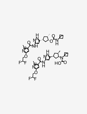 C[C@@H]1C[C@H](c2cc(NC(=O)c3cc(OCC(F)F)nn3C)n[nH]2)C[C@@H]1N(C(=O)O)C12CC(C1)C2.C[C@H]1C[C@@H](c2cc(NC(=O)c3cc(OCC(F)F)nn3C)n[nH]2)C[C@H]1OC(=O)NC12CC(C1)C2